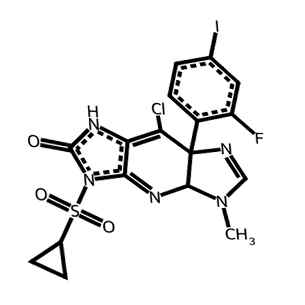 CN1C=NC2(c3ccc(I)cc3F)C(Cl)=c3[nH]c(=O)n(S(=O)(=O)C4CC4)c3=NC12